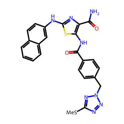 CSc1nnn(Cc2ccc(C(=O)Nc3sc(Nc4ccc5ccccc5c4)nc3C(N)=O)cc2)n1